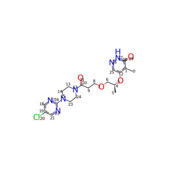 Cc1c(O[C@@H](C)COCCC(=O)N2CCN(c3ncc(Cl)cn3)CC2)cn[nH]c1=O